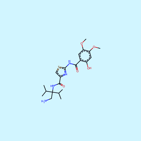 COc1cc(O)c(C(=O)Nc2nc(C(=O)NC(CN)(C(C)C)C(C)C)cs2)cc1OC